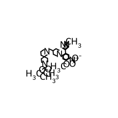 COc1cc(N2CCC(CN3CCCC4(CCN(C(=O)OC(C)(C)C)CC4)C3)CC2)c(-c2cnn(C)c2)cc1[N+](=O)[O-]